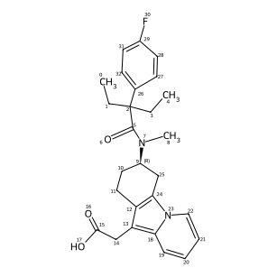 CCC(CC)(C(=O)N(C)[C@@H]1CCc2c(CC(=O)O)c3ccccn3c2C1)c1ccc(F)cc1